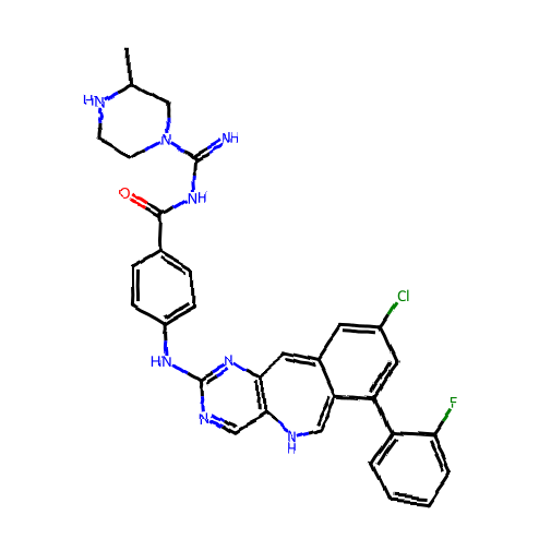 CC1CN(C(=N)NC(=O)c2ccc(Nc3ncc4c(n3)C=c3cc(Cl)cc(-c5ccccc5F)c3=CN4)cc2)CCN1